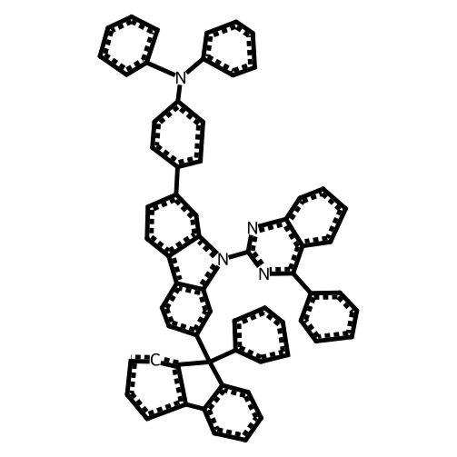 c1ccc(-c2nc(-n3c4cc(-c5ccc(N(c6ccccc6)c6ccccc6)cc5)ccc4c4ccc(C5(c6ccccc6)c6ccccc6-c6ccccc65)cc43)nc3ccccc23)cc1